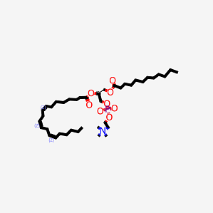 CCCCC/C=C\C/C=C\C/C=C\CCCCCCC(=O)O[C@H](COC(=O)CCCCCCCCCCC)COP(=O)([O-])OCC[N+](C)(C)C